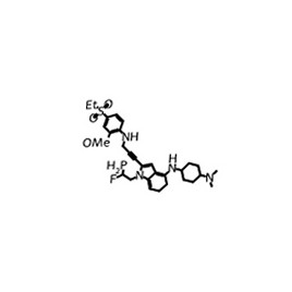 CCS(=O)(=O)c1ccc(NCC#Cc2cc3c(n2CC(F)P)=CCCC=3NC2CCC(N(C)C)CC2)c(OC)c1